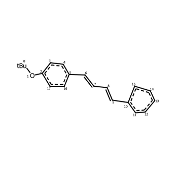 CC(C)(C)Oc1ccc(C=CC=Cc2ccccc2)cc1